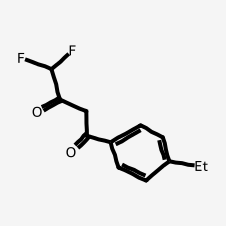 CCc1ccc(C(=O)CC(=O)C(F)F)cc1